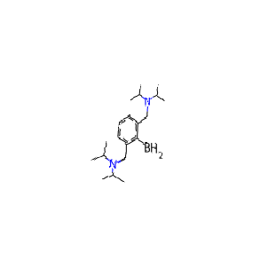 Bc1c(CN(C(C)C)C(C)C)cccc1CN(C(C)C)C(C)C